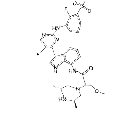 COC[C@@H](C(=O)Nc1cccc2c(-c3nc(Nc4cccc(S(C)(=O)=O)c4F)ncc3F)c[nH]c12)N1C[C@@H](C)N[C@H](C)C1